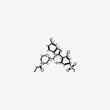 CCC(=O)N1CCO[C@@H](Cn2c(-c3c(F)cc(S(C)(=O)=O)cc3Cl)nc3cc(C)ccc32)C1